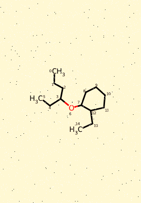 CCCC(CC)OC1CCCCC1CC